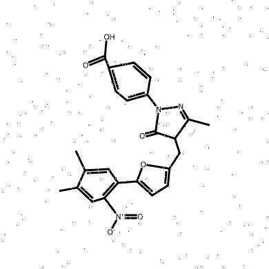 CC1=NN(c2ccc(C(=O)O)cc2)C(=O)C1Cc1ccc(-c2cc(C)c(C)cc2[N+](=O)[O-])o1